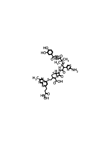 Cc1nc2nc(CCC(=O)NO)cc(SCC3=C(C(=O)O)N4C(=O)[C@@H](NC(=O)C(=NOC(C)(C)C(=O)NNC(=O)c5ccc(O)c(O)c5)c5csc(N)n5)[C@H]4SC3)n2n1